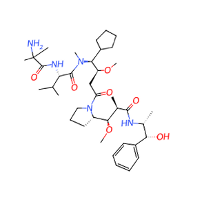 CO[C@H]([C@@H](C)C(=O)N[C@H](C)[C@H](O)c1ccccc1)[C@@H]1CCCN1C(=O)C[C@H](OC)[C@H](C1CCCC1)N(C)C(=O)[C@@H](NC(=O)C(C)(C)N)C(C)C